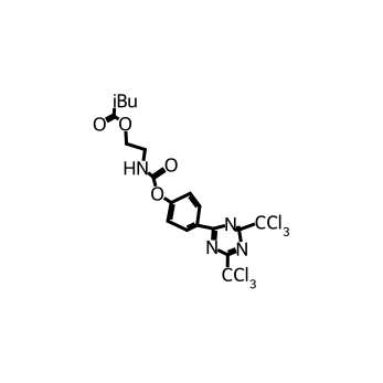 CCC(C)C(=O)OCCNC(=O)Oc1ccc(-c2nc(C(Cl)(Cl)Cl)nc(C(Cl)(Cl)Cl)n2)cc1